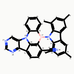 Cc1cc(C)c2c(c1)c1cc(C)cc(C)c1n2B1c2ccccc2-n2c3cncnc3c3ccc(C#N)c1c32